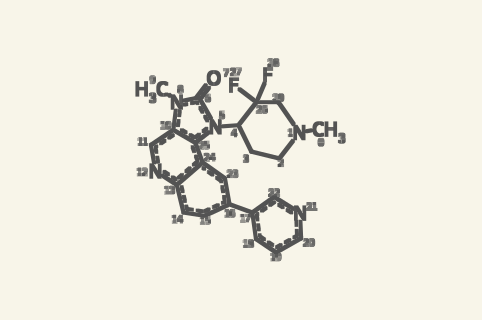 CN1CCC(n2c(=O)n(C)c3cnc4ccc(-c5cccnc5)cc4c32)C(F)(F)C1